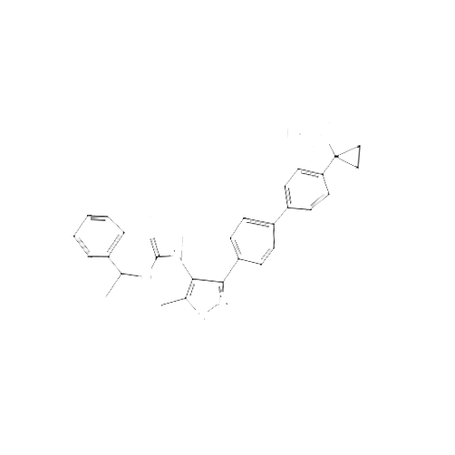 Cc1snc(-c2ccc(-c3ccc(C4(C(=O)O)CC4)cc3)cc2)c1NC(=O)OC(C)c1ccccc1